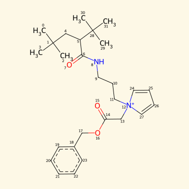 CC(C)(C)CC(C(=O)NCCC[N+]1(CC(=O)OCc2ccccc2)C=CC=C1)C(C)(C)C